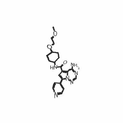 COCCOC1CCC(NC(=O)c2cc(-c3ccncc3)n3ncnc(N)c23)CC1